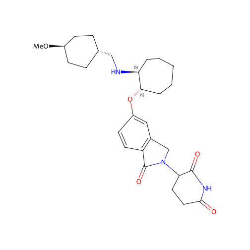 CO[C@H]1CC[C@H](CN[C@H]2CCCCC[C@@H]2Oc2ccc3c(c2)CN(C2CCC(=O)NC2=O)C3=O)CC1